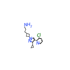 NCCCC1CC(n2cc(-c3ncccc3Cl)c(C3CC3)n2)C1